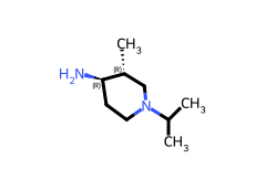 CC(C)N1CC[C@@H](N)[C@H](C)C1